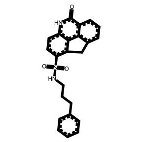 O=c1[nH]c2ccc(S(=O)(=O)NCCCc3ccccc3)c3c2c2c(cccc12)C3